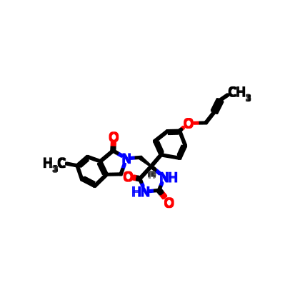 CC#CCOc1ccc([C@]2(CN3Cc4ccc(C)cc4C3=O)NC(=O)NC2=O)cc1